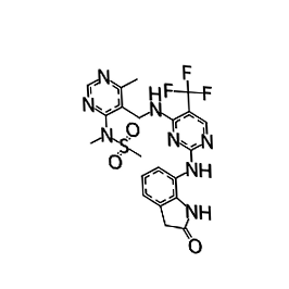 Cc1ncnc(N(C)S(C)(=O)=O)c1CNc1nc(Nc2cccc3c2NC(=O)C3)ncc1C(F)(F)F